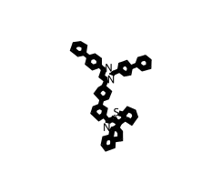 c1ccc(-c2ccc(-c3cc(-c4ccc(-c5cccc(-c6nc7c8ccccc8ccc7c7c6sc6ccccc67)c5)cc4)nc(-c4ccc(-c5ccccc5)cc4)n3)cc2)cc1